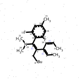 C\C=C/C(=C\C)C(/CC(C)CC)=C(\c1c(F)cc(C)cc1F)N(C)C